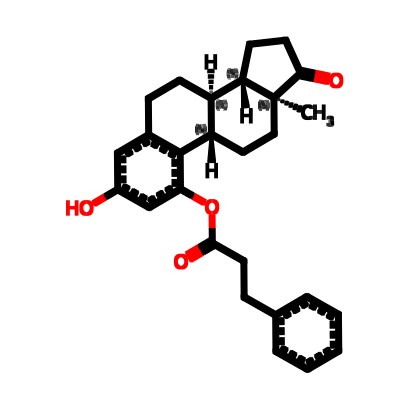 C[C@]12CC[C@@H]3c4c(cc(O)cc4OC(=O)CCc4ccccc4)CC[C@H]3[C@@H]1CCC2=O